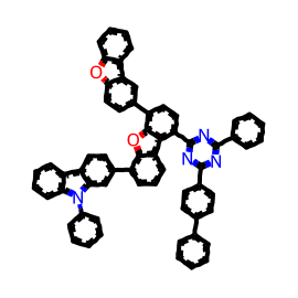 c1ccc(-c2ccc(-c3nc(-c4ccccc4)nc(-c4ccc(-c5ccc6oc7ccccc7c6c5)c5oc6c(-c7ccc8c9ccccc9n(-c9ccccc9)c8c7)cccc6c45)n3)cc2)cc1